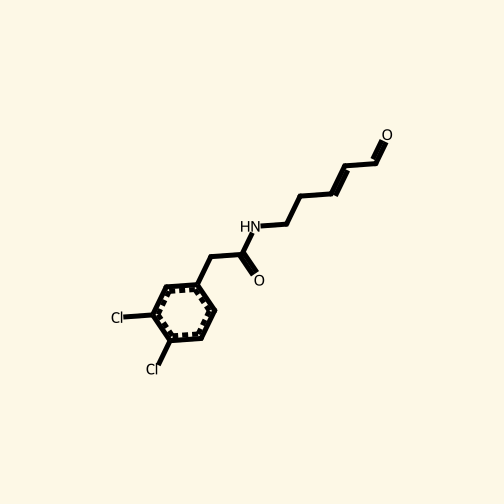 O=C/C=C/CCNC(=O)Cc1ccc(Cl)c(Cl)c1